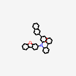 c1ccc(-c2ccccc2N(c2cccc(-c3ccc4ccccc4c3)c2)c2ccc3c(c2)oc2ccccc23)cc1